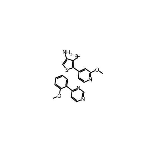 COc1ccccc1-c1ccncn1.[2H]c1c(N)csc1-c1ccnc(OC)c1